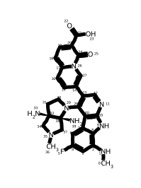 CNc1cc(F)cc2c1[nH]c1ncc(-c3ccc4ccc(C(=O)O)c(=O)n4c3)c(N3CC[C@@]4(N)CN(C)C[C@@]34N)c12